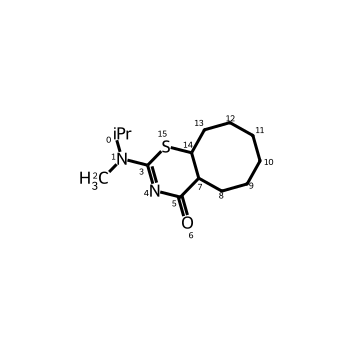 CC(C)N(C)C1=NC(=O)C2CCCCCCC2S1